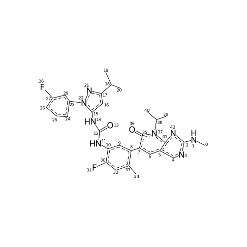 CNc1ncc2cc(-c3cc(NC(=O)Nc4cc(C(C)C)nn4-c4cccc(F)c4)c(F)cc3C)c(=O)n(C(C)C)c2n1